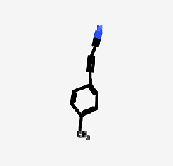 Cc1ccc(C#CC#N)cc1